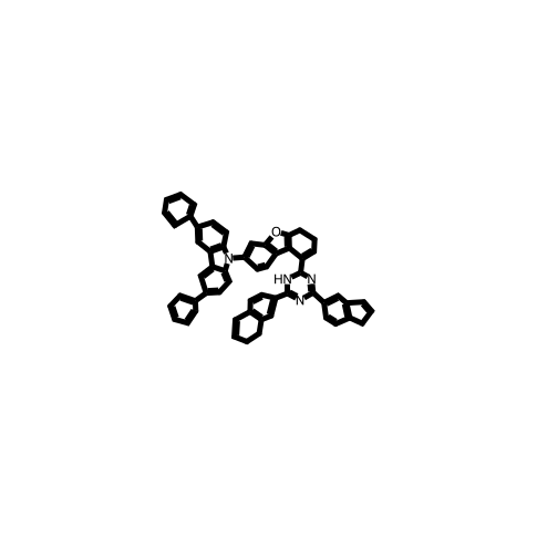 C1=Cc2ccc(C3=NC(c4ccc5c(c4)C=CC5)=NC(C4=CCCc5oc6cc(-n7c8ccc(-c9ccccc9)cc8c8cc(-c9ccccc9)ccc87)ccc6c54)N3)cc2CC1